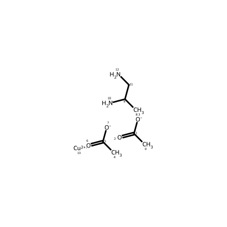 CC(=O)[O-].CC(=O)[O-].CC(N)CN.[Cu+2]